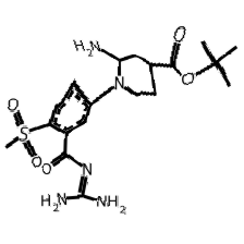 CC(C)(C)OC(=O)C1CCN(c2ccc(S(C)(=O)=O)c(C(=O)N=C(N)N)c2)C(N)C1